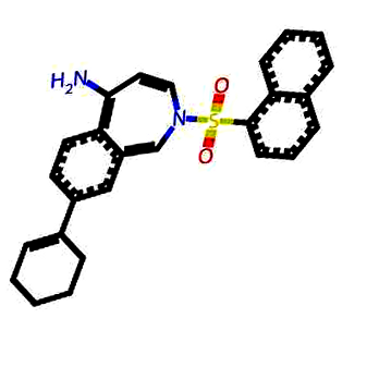 NC1=c2ccc(C3=CCCCC3)cc2=CN(S(=O)(=O)c2cccc3ccccc23)C=C1